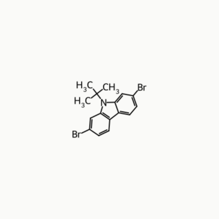 CC(C)(C)n1c2cc(Br)ccc2c2ccc(Br)cc21